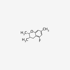 Cc1cc(F)c2c(c1)OC(C)C(C)C2